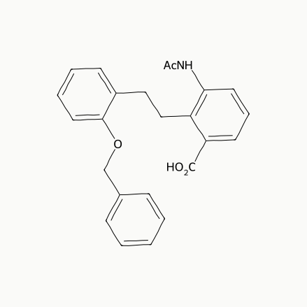 CC(=O)Nc1cccc(C(=O)O)c1CCc1ccccc1OCc1ccccc1